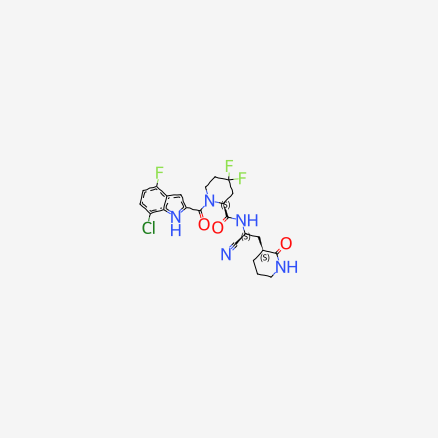 N#C[C@H](C[C@@H]1CCCNC1=O)NC(=O)[C@@H]1CC(F)(F)CCN1C(=O)c1cc2c(F)ccc(Cl)c2[nH]1